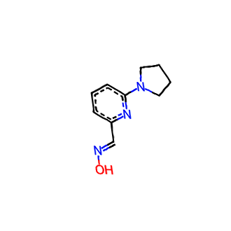 ON=Cc1cccc(N2CCCC2)n1